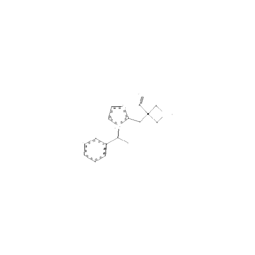 CC(c1ccccc1)n1ccnc1CC1(C=O)COC1